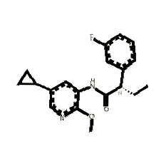 CC[C@H](C(=O)Nc1cc(C2CC2)cnc1OC)c1cccc(F)c1